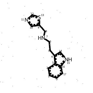 c1ccc2c(CCNCc3cncs3)c[nH]c2c1